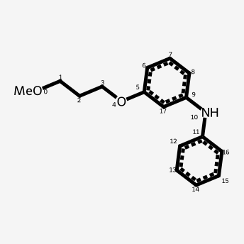 COCCCOc1cccc(Nc2ccccc2)c1